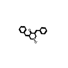 O=C1/C(=C/c2ccccc2)C[S+]([O-])C/C1=C/c1ccccc1